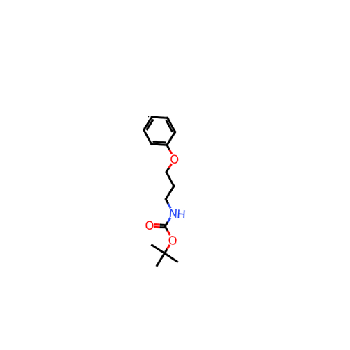 CC(C)(C)OC(=O)NCCCOc1cc[c]cc1